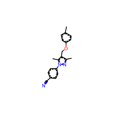 Cc1ccc(OCc2c(C)nn(-c3ccc(C#N)cc3)c2C)cc1